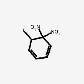 O=[N+]([O-])C1([N+](=O)[O-])C=CC=CC1I